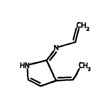 C=C/N=C1/NC=C/C1=C/C